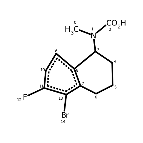 CN(C(=O)O)C1CCCc2c1ccc(F)c2Br